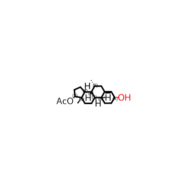 CC(=O)O[C@H]1CC[C@H]2[C@H]3[C@H](CC[C@]12C)[C@H]1CC[C@@H](O)C=C1C[C@H]3C